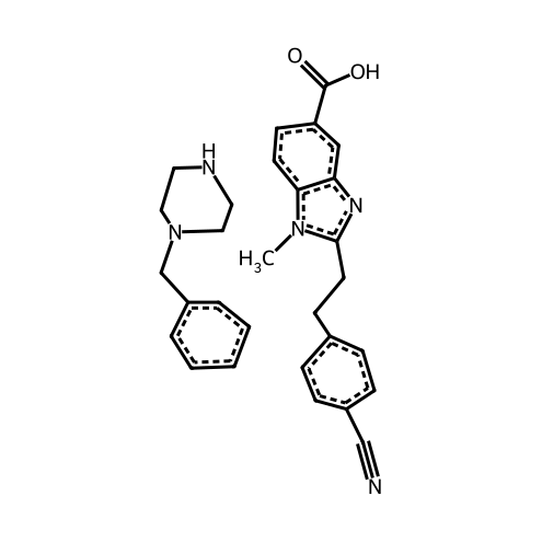 Cn1c(CCc2ccc(C#N)cc2)nc2cc(C(=O)O)ccc21.c1ccc(CN2CCNCC2)cc1